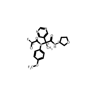 C[C@](C(=O)N[C@H]1CCOC1)(c1cncnc1)N(C(=O)[C@H](F)Cl)c1ccc(OC(F)(F)F)cc1